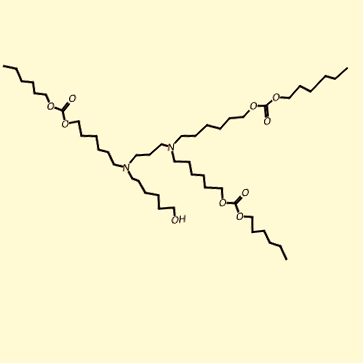 CCCCCCOC(=O)OCCCCCCN(CCCCCCO)CCCN(CCCCCCOC(=O)OCCCCCC)CCCCCCOC(=O)OCCCCCC